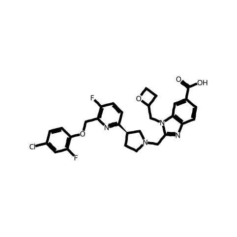 O=C(O)c1ccc2nc(CN3CC[C@@H](c4ccc(F)c(COc5ccc(Cl)cc5F)n4)C3)n(CC3CCO3)c2c1